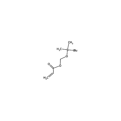 C=CC(=O)OCO[Si](C)(C)C(C)(C)C